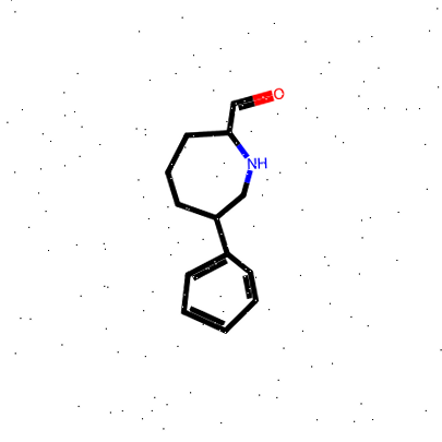 O=CC1CCCC(c2ccccc2)CN1